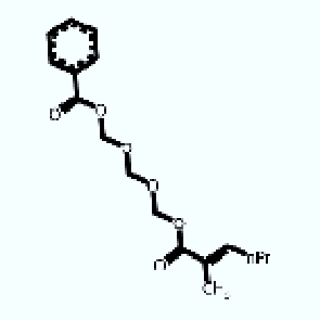 CCCC=C(C)C(=O)OCOCOCOC(=O)c1ccccc1